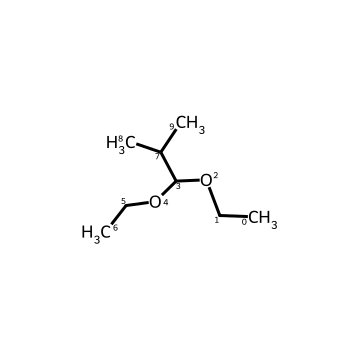 CCOC(OCC)C(C)C